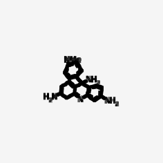 CNc1ccc(C2(N)C3=CC=C(N)CC3=Nc3cc(N)ccc32)cc1